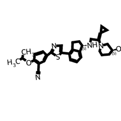 CC(C)Oc1ccc(-c2ncc(-c3cccc4c3CC[C@@H]4NCC(=C3CC3)N3CCC[C@H](O)C3)s2)cc1C#N